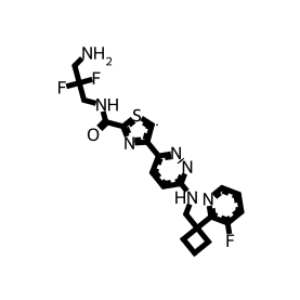 NCC(F)(F)CNC(=O)c1nc(-c2ccc(NCC3(c4ncccc4F)CCC3)nn2)[c]s1